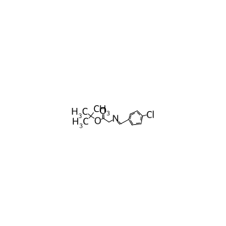 CC(C)(C)OC(=O)C/N=C/c1ccc(Cl)cc1